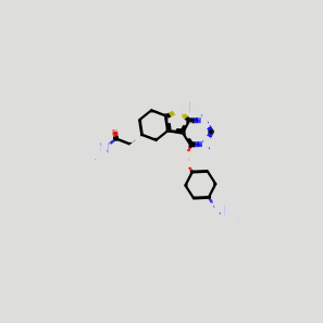 Cl.NC(=O)C[C@H]1CCc2sc3ncnc(OC4CCC(N)CC4)c3c2C1